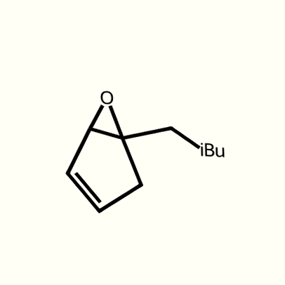 CCC(C)CC12CC=CC1O2